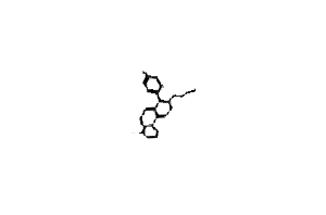 C=CCCC1CCC2c3cc(F)cc(F)c3CCC2C1c1ccc(Cl)cc1